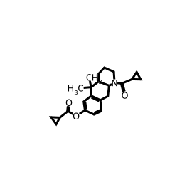 CC1(C)c2cc(OC(=O)C3CC3)ccc2CC2C1CCCN2C(=O)C1CC1